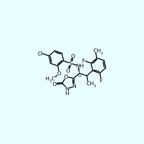 COc1cc(Cl)ccc1S(=O)(=O)N[C@H](c1n[nH]c(=O)o1)C(C)c1c(F)ccc(C)c1F